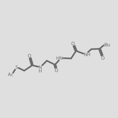 CCC(C)C(=O)CNC(=O)CNC(=O)CNC(=O)CSC(C)=O